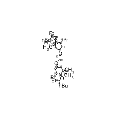 CCCCC(CC)ON1C(C(C)C)CC(OCCOC2CC(C(C)C)N(OC(CC)CCCC)C(C)(C)C2)CC1(C)C